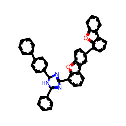 c1ccc(C2=NC(c3cccc4c3oc3ccc(-c5cccc6c5oc5ccccc56)cc34)=NC(c3ccc(-c4ccccc4)cc3)N2)cc1